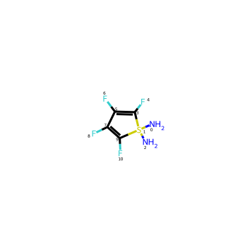 NS1(N)C(F)=C(F)C(F)=C1F